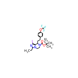 CCc1nc(I)c2n1CCN(C(=O)OC(C)(C)C)C2CCc1ccc(OC(F)(F)F)cc1